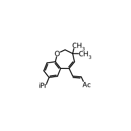 CC(=O)C=CC1=CC(C)(C)COc2ccc(C(C)C)cc21